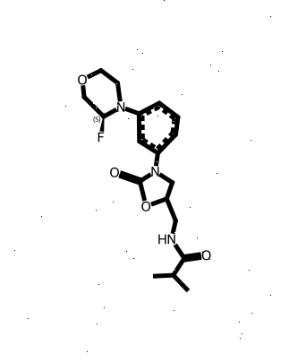 CC(C)C(=O)NCC1CN(c2cccc(N3CCOC[C@@H]3F)c2)C(=O)O1